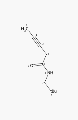 CC#CCC(=O)NCC(C)(C)C